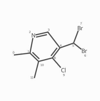 Cc1ncc(C(Br)Br)c(Cl)c1C